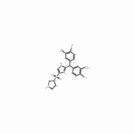 O=S(=O)(c1c[nH]c(C(c2ccc(F)c(Cl)c2)c2ccc(F)c(Cl)c2)n1)C1CCOC1